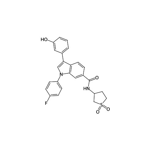 O=C(NC1CCS(=O)(=O)C1)c1ccc2c(-c3cccc(O)c3)cn(-c3ccc(F)cc3)c2c1